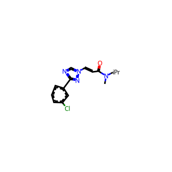 CC(C)N(C)C(=O)C=Cn1cnc(-c2cccc(Cl)c2)n1